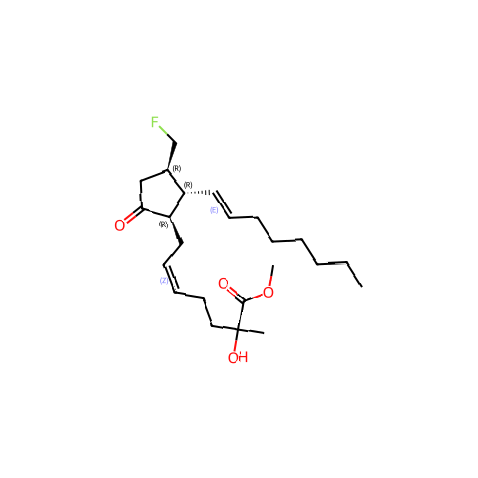 CCCCCC/C=C/[C@H]1[C@H](CF)CC(=O)[C@@H]1C/C=C\CCC(C)(O)C(=O)OC